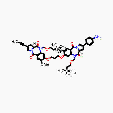 CC#CC1=CN2C(=O)c3cc(OC)c(OCCCOc4cc5c(cc4OC)C(=O)N4C=C(c6ccc(N)cc6)C[C@H]4C(=O)N5COCC[Si](C)(C)C)cc3N(COCC[Si](C)(C)C)C(=O)[C@@H]2C1